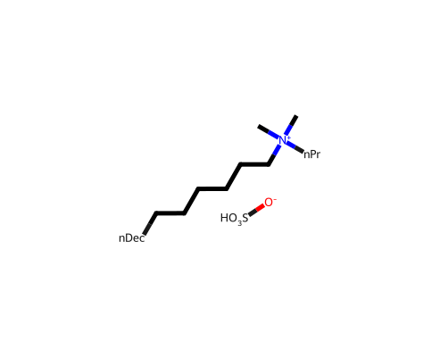 CCCCCCCCCCCCCCCC[N+](C)(C)CCC.O=S(=O)([O-])O